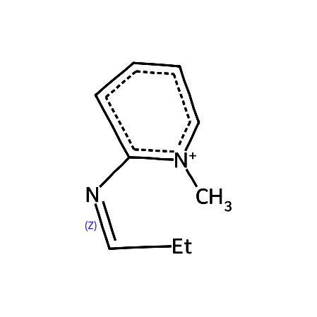 CC/C=N\c1cccc[n+]1C